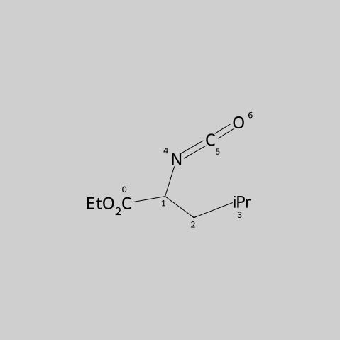 CCOC(=O)C(CC(C)C)N=C=O